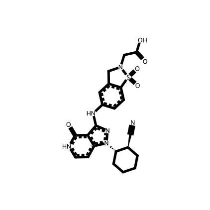 N#C[C@H]1CCCC[C@@H]1n1nc(Nc2ccc3c(c2)CN(CC(=O)O)S3(=O)=O)c2c(=O)[nH]ccc21